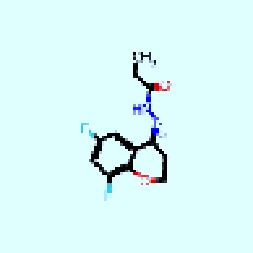 CCC(=O)N/N=C1/CCOc2c(F)cc(F)cc21